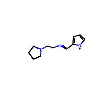 C(=NCCN1CCCC1)c1ccc[nH]1